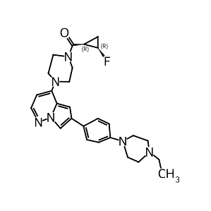 CCN1CCN(c2ccc(-c3cc4c(N5CCN(C(=O)[C@H]6C[C@H]6F)CC5)ccnn4c3)cc2)CC1